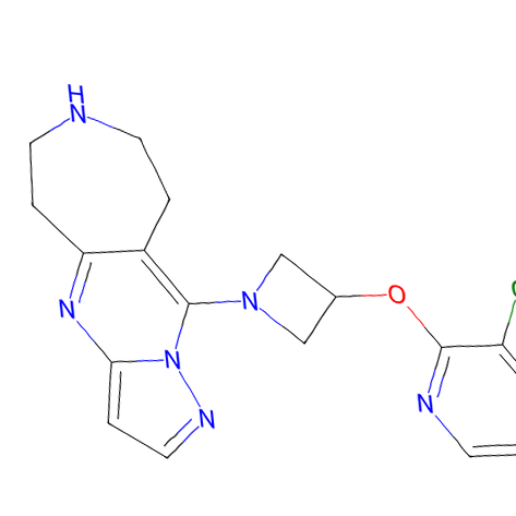 Clc1cccnc1OC1CN(c2c3c(nc4ccnn24)CCNCC3)C1